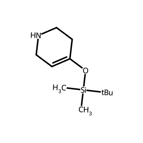 CC(C)(C)[Si](C)(C)OC1=CCNCC1